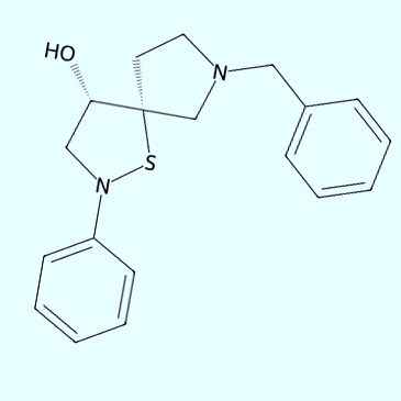 O[C@H]1CN(c2ccccc2)S[C@@]12CCN(Cc1ccccc1)C2